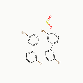 Brc1cccc(-c2cccc(Br)c2)c1.Brc1cccc(-c2cccc(Br)c2)c1.O=S=O